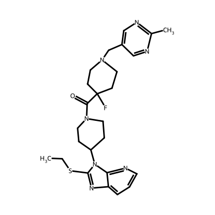 CCSc1nc2cccnc2n1C1CCN(C(=O)C2(F)CCN(Cc3cnc(C)nc3)CC2)CC1